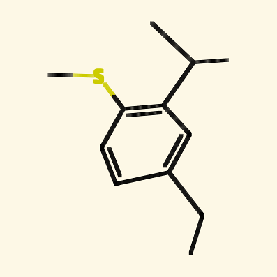 CCc1ccc(SC)c(C(C)C)c1